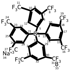 FC(F)(F)c1cc([B-](c2cc(C(F)(F)F)cc(C(F)(F)F)c2)(c2cc(C(F)(F)F)cc(C(F)(F)F)c2)c2cc(C(F)(F)F)cc(C(F)(F)F)c2)cc(C(F)(F)F)c1.[B].[Na+]